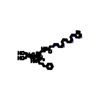 CC/C=C\C/C=C\C/C=C\C/C=C\C/C=C\C/C=C\CCC(=O)NCCSSC(C)(C)[C@@H](CNC(CO)CO)NC(=O)CCCc1ccccc1